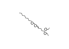 CCCCCCCCOCOC=CCCC(OCC)OCC